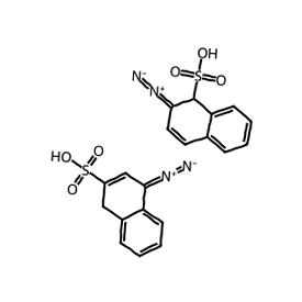 [N-]=[N+]=C1C=C(S(=O)(=O)O)Cc2ccccc21.[N-]=[N+]=C1C=Cc2ccccc2C1S(=O)(=O)O